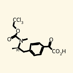 C[C@H](Cc1ccc(C(=O)C(=O)O)cc1)N(C)C(=O)OCC(Cl)(Cl)Cl